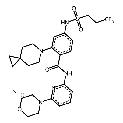 C[C@@H]1CN(c2cccc(NC(=O)c3ccc(NS(=O)(=O)CCC(F)(F)F)cc3N3CCC4(CC3)CC4)n2)CCO1